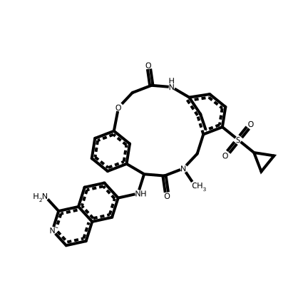 CN1Cc2cc(ccc2S(=O)(=O)C2CC2)NC(=O)COc2cccc(c2)C(Nc2ccc3c(N)nccc3c2)C1=O